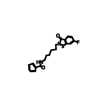 O=C(NCCCCCCn1sc2cc(F)ccc2c1=O)c1ccccc1